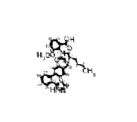 CCCCc1cn(-c2c(OC)cccc2C(=O)O)c(=O)n1Cc1ccc(-c2ccccc2-c2nnn[nH]2)cc1